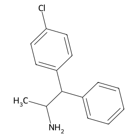 CC(N)C(c1ccccc1)c1ccc(Cl)cc1